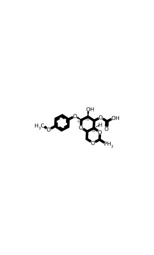 COc1ccc(O[C@@H]2OC3COC(P)O[C@@H]3C(OC(=O)O)[C@@H]2O)cc1